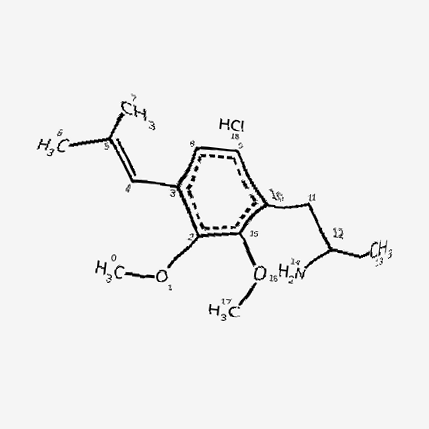 COc1c(C=C(C)C)ccc(CC(C)N)c1OC.Cl